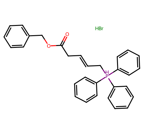 Br.O=C(CC=CC[PH](c1ccccc1)(c1ccccc1)c1ccccc1)OCc1ccccc1